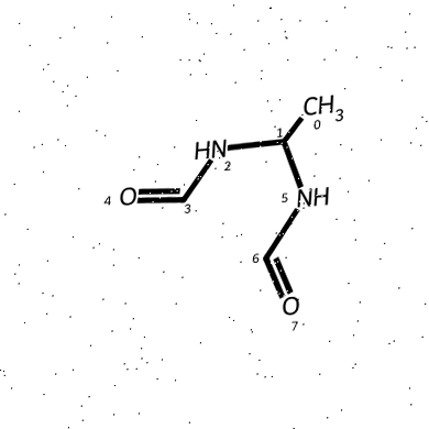 CC(NC=O)NC=O